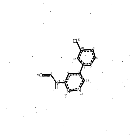 O=CNc1cc(-c2cccc(Cl)c2)cnn1